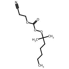 CCCCCC(C)(C)OOC(=O)OCCC#N